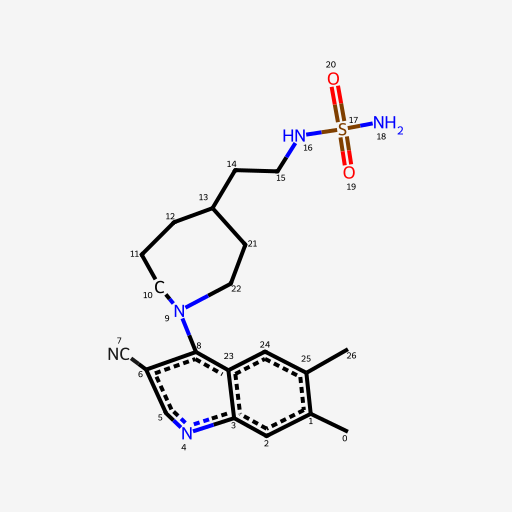 Cc1cc2ncc(C#N)c(N3CCCC(CCNS(N)(=O)=O)CC3)c2cc1C